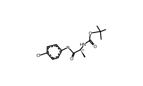 C[C@H](NC(=O)OC(C)(C)C)C(=O)[N]c1ccc(Cl)cc1